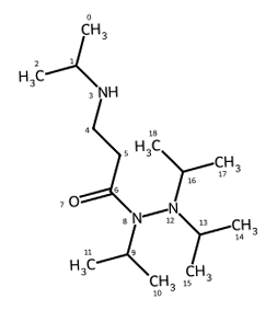 CC(C)NCCC(=O)N(C(C)C)N(C(C)C)C(C)C